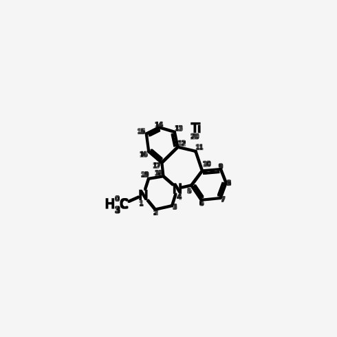 CN1CCN2c3ccccc3Cc3ccccc3C2C1.[Ti]